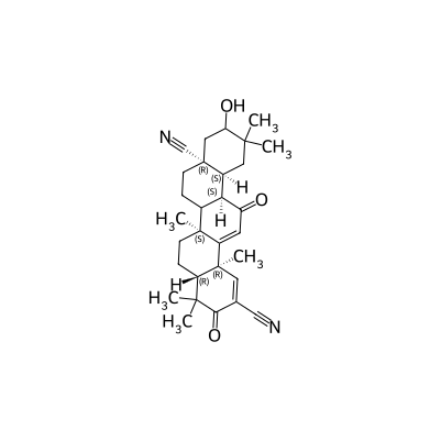 CC1(C)C[C@H]2[C@H]3C(=O)C=C4[C@@](C)(CC[C@H]5C(C)(C)C(=O)C(C#N)=C[C@]45C)C3CC[C@@]2(C#N)CC1O